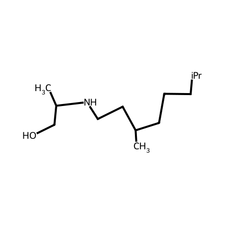 CC(C)CCCC(C)CCNC(C)CO